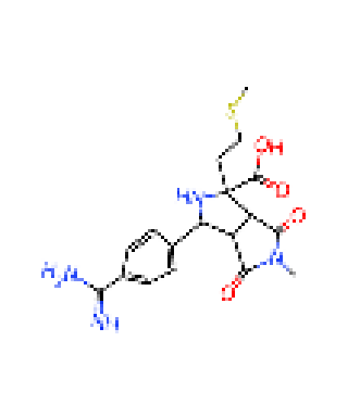 CSCCC1(C(=O)O)NC(c2ccc(C(=N)N)cc2)C2C(=O)N(C)C(=O)C21